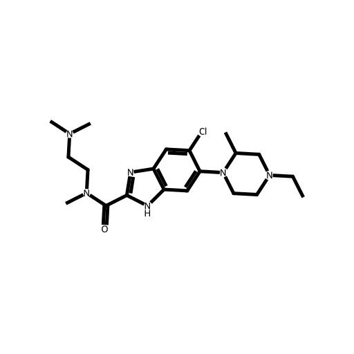 CCN1CCN(c2cc3[nH]c(C(=O)N(C)CCN(C)C)nc3cc2Cl)C(C)C1